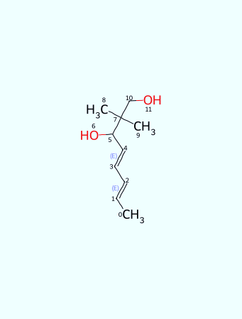 C/C=C/C=C/C(O)C(C)(C)CO